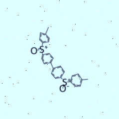 Cc1ccc([S+]([O-])c2ccc(-c3ccc([S+]([O-])c4ccc(C)cc4)cc3)cc2)cc1